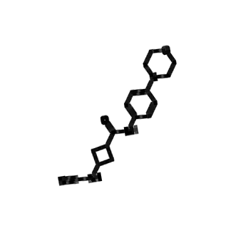 N#CNC1CC(C(=O)Nc2ccc(N3CCOCC3)cc2)C1